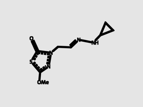 COc1nn(CC=NNC2CC2)c(=O)s1